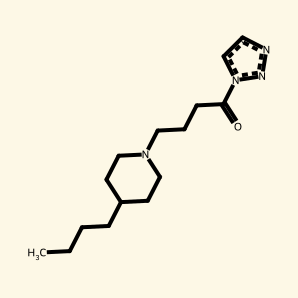 CCCCC1CCN(CCCC(=O)n2ccnn2)CC1